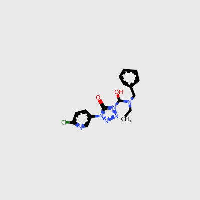 CCN(Cc1ccccc1)C(O)n1nnn(-c2ccc(Cl)nc2)c1=O